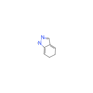 C1=N[N]C2=CCCC=C12